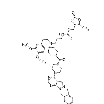 COc1cc2c(cc1OC)[C@]1(CC[C@H](C(=O)N3CCN(c4ncnc5c4cnn5Cc4ccccc4F)CC3)CC1)N(CCCNC(=O)OCc1oc(=O)oc1C)CC2